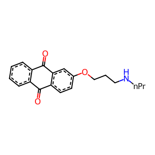 CCCNCCCOc1ccc2c(c1)C(=O)c1ccccc1C2=O